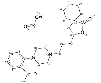 CC(C)c1ccccc1N1CCN(CCCC2CC3(CCCCC3)C(=O)O2)CC1.O=CO